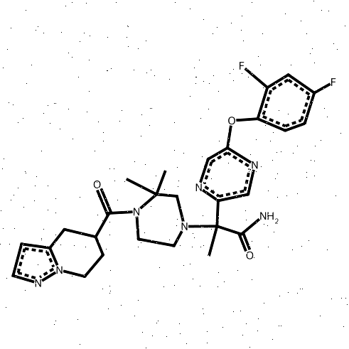 CC1(C)CN(C(C)(C(N)=O)c2cnc(Oc3ccc(F)cc3F)cn2)CCN1C(=O)C1CCn2nccc2C1